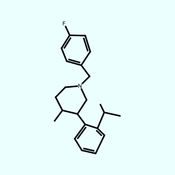 CC(C)c1ccccc1C1CN(Cc2ccc(F)cc2)CCC1C